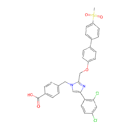 CS(=O)(=O)c1ccc(-c2ccc(OCc3nc(-c4ccc(Cl)cc4Cl)cn3Cc3ccc(C(=O)O)cc3)cc2)cc1